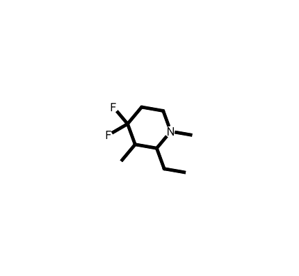 CCC1C(C)C(F)(F)CCN1C